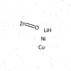 [Cu].[LiH].[Ni].[O]=[Zn]